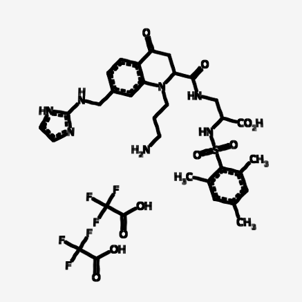 Cc1cc(C)c(S(=O)(=O)NC(CNC(=O)C2CC(=O)c3ccc(CNc4ncc[nH]4)cc3N2CCCN)C(=O)O)c(C)c1.O=C(O)C(F)(F)F.O=C(O)C(F)(F)F